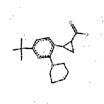 CC(C)(C)c1ccc(C2CC2C(=O)O)c(N2CCCCC2)n1